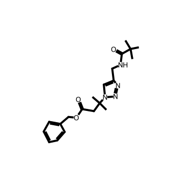 CC(C)(C)C(=O)NCc1cn(C(C)(C)CC(=O)OCc2ccccc2)nn1